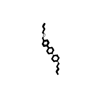 C=CCCOCc1ccc(C2CCC([C@H]3CC[C@H](CC/C=C/C)CC3)CC2)cc1